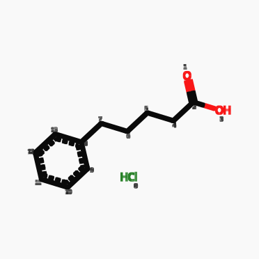 Cl.O=C(O)CCCCc1ccccc1